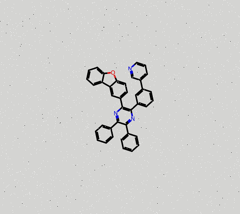 c1ccc(-c2nc(-c3cccc(-c4cccnc4)c3)c(-c3ccc4oc5ccccc5c4c3)nc2-c2ccccc2)cc1